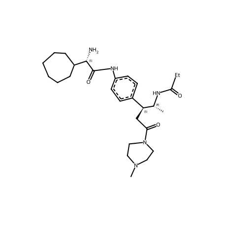 CCC(=O)N[C@H](C)[C@@H](CC(=O)N1CCN(C)CC1)c1ccc(NC(=O)[C@@H](N)C2CCCCCC2)cc1